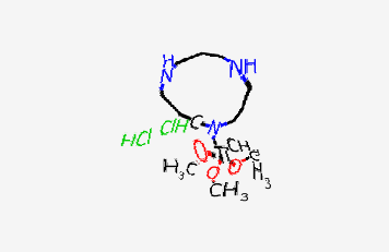 C[O][Ti]([CH3])([O]C)([O]C)[N]1CCCNCCCNCCC1.Cl.Cl